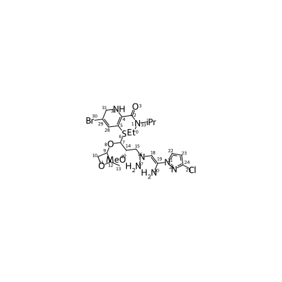 CCN(C(=O)C1=C(SC(OC2COC2C)[C@H](CN(N)/C=C(\N)n2ccc(Cl)n2)OC)C=C(Br)CN1)C(C)C